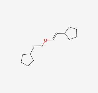 C(=CC1CCCC1)OC=CC1CCCC1